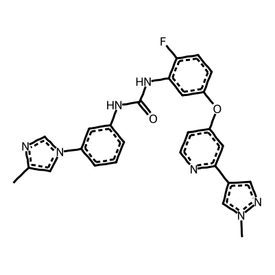 Cc1cn(-c2cccc(NC(=O)Nc3cc(Oc4ccnc(-c5cnn(C)c5)c4)ccc3F)c2)cn1